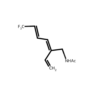 C=C/C(=C\C=C\C(F)(F)F)CNC(C)=O